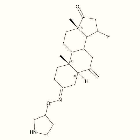 C=C1CC2C3C(F)CC(=O)[C@@]3(C)CCC2[C@@]2(C)CCC(=NOC3CCNC3)C[C@H]12